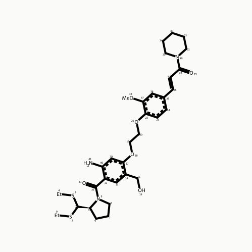 CCSC(SCC)[C@@H]1CCCN1C(=O)c1cc(CO)c(OCCOc2ccc(/C=C/C(=O)N3CCCCC3)cc2OC)cc1N